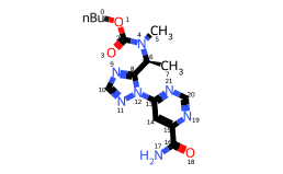 CCCCOC(=O)N(C)[C@@H](C)c1ncnn1-c1cc(C(N)=O)ncn1